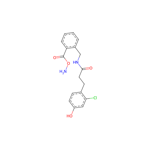 NOC(=O)c1ccccc1CNC(=O)CCc1ccc(O)cc1Cl